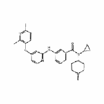 Cc1ccc(Oc2ccnc(Nc3cccc(C(=O)N(C4CC4)C4CCN(C)CC4)c3)c2)c(C)n1